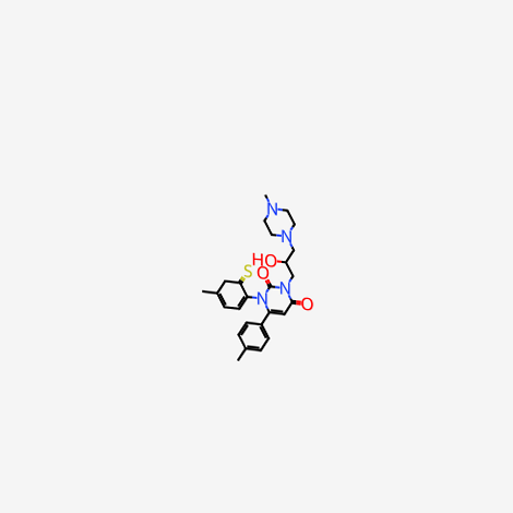 CC1=CC=C(n2c(-c3ccc(C)cc3)cc(=O)n(CC(O)CN3CCN(C)CC3)c2=O)C(=S)C1